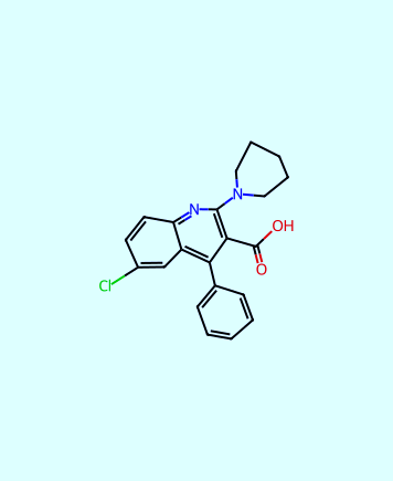 O=C(O)c1c(N2CCCCC2)nc2ccc(Cl)cc2c1-c1ccccc1